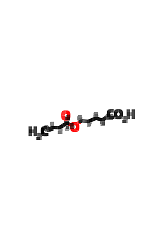 C=CCC(=O)OCCCCC(=O)O